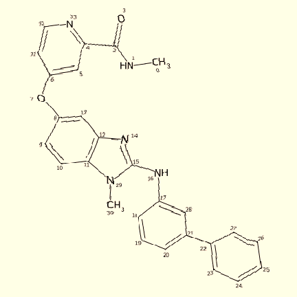 CNC(=O)c1cc(Oc2ccc3c(c2)nc(Nc2cccc(-c4ccccc4)c2)n3C)ccn1